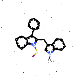 Cn1cc(Cc2c(-c3ccccc3)c3ccccc3n2SI)c2ccccc21